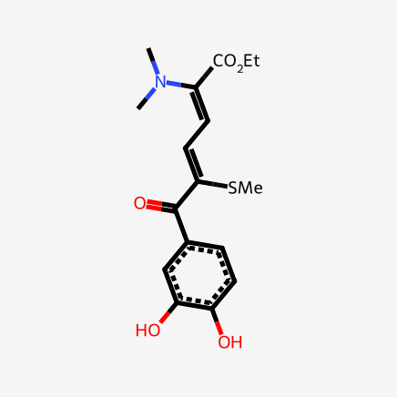 CCOC(=O)/C(=C/C=C(\SC)C(=O)c1ccc(O)c(O)c1)N(C)C